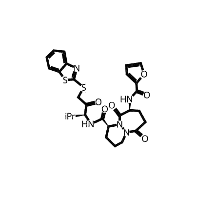 CC(C)[C@H](NC(=O)[C@@H]1CCCN2C(=O)CC[C@H](NC(=O)c3ccco3)C(=O)N12)C(=O)CSc1nc2ccccc2s1